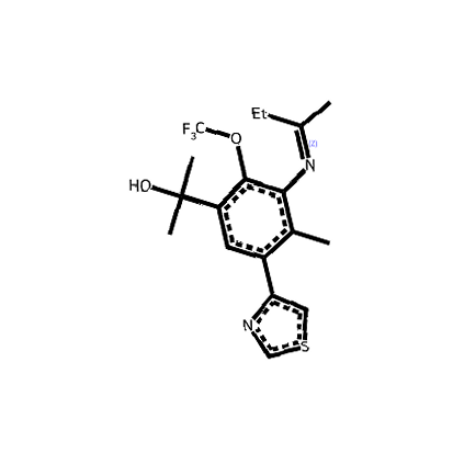 CC/C(C)=N\c1c(C)c(-c2cscn2)cc(C(C)(C)O)c1OC(F)(F)F